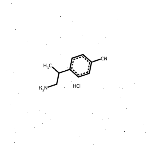 CC(CN)c1ccc(C#N)cc1.Cl